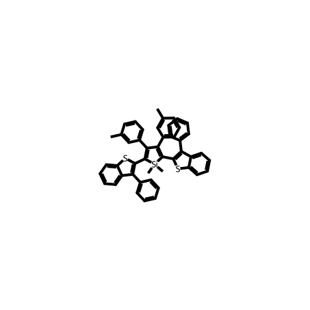 Cc1cccc(C2=C(c3sc4ccccc4c3-c3ccccc3)[Si](C)(C)C(c3sc4ccccc4c3-c3ccccc3)=C2c2cccc(C)c2)c1